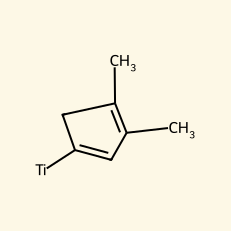 CC1=C(C)C[C]([Ti])=C1